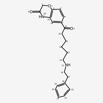 O=C1COc2ccc(C(=O)CCCCCNCCc3ccccc3)cc2N1